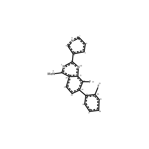 CNc1nc(-c2cccnc2)nc2c(F)c(-c3ccccc3F)ccc12